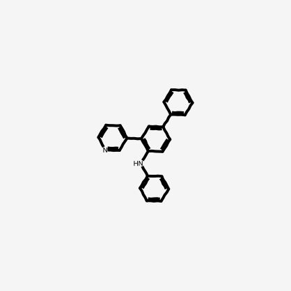 c1ccc(Nc2ccc(-c3ccccc3)cc2-c2cccnc2)cc1